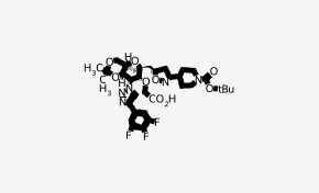 CC(C)(C)OC(=O)N1CCC(C2=NO[C@@H](C[C@H]3O[C@@H]4COC(C)(C)O[C@@H]4[C@H](n4cc(-c5cc(F)c(F)c(F)c5)nn4)[C@H]3OCC(=O)O)C2)CC1